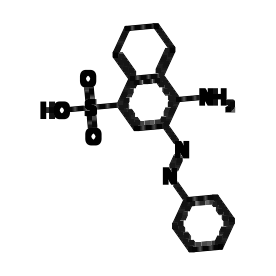 Nc1c(/N=N/c2ccccc2)cc(S(=O)(=O)O)c2c1=CCCC=2